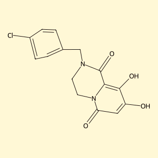 O=C1c2c(O)c(O)cc(=O)n2CCN1Cc1ccc(Cl)cc1